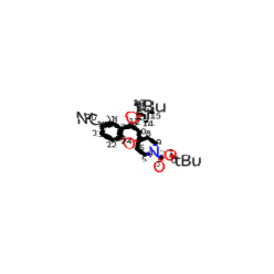 CC(C)(C)OC(=O)N1CCC2(CC1)CC(O[Si](C)(C)C(C)(C)C)c1cc(C#N)ccc1O2